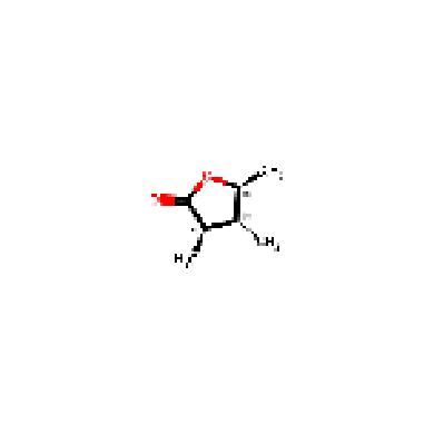 C[C@H]1[C@H](C)OC(=O)[C@@H]1C